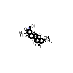 C#C[C@]12CCC(C)(C)C[C@H]1[C@H]1C(=O)C[C@@H]3[C@@]4(C)C/C(=C\O)C(=O)C(C)(C)[C@@H]4CC[C@@]3(C)[C@]1(C)CC2